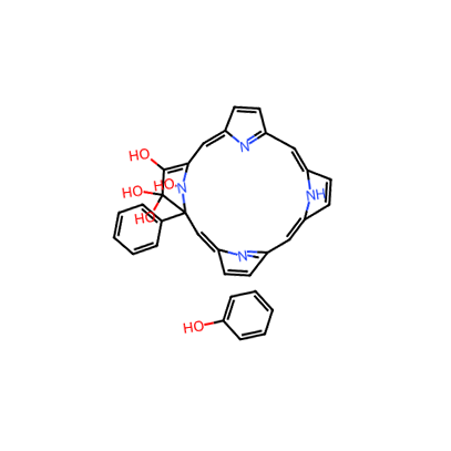 OC1=C2C=C3C=CC(=N3)C=c3ccc([nH]3)=CC3=NC(=CC(c4ccccc4)(N2O)C1(O)O)C=C3.Oc1ccccc1